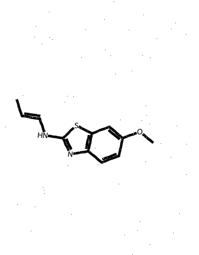 CC=CNc1nc2ccc(OC)cc2s1